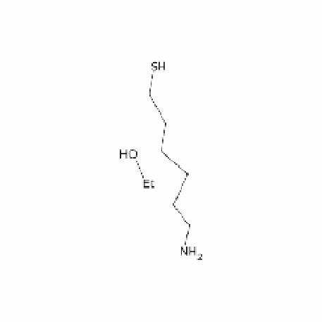 CCO.NCCCCCCS